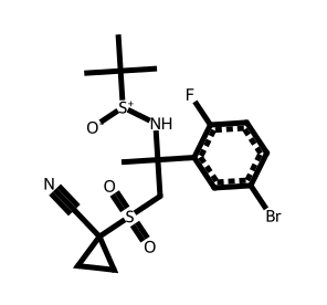 CC(CS(=O)(=O)C1(C#N)CC1)(N[S+]([O-])C(C)(C)C)c1cc(Br)ccc1F